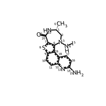 C[C@@H]1CN(NI)c2c(sc3ccc4nc(N)ccc4c23)C(=O)N1